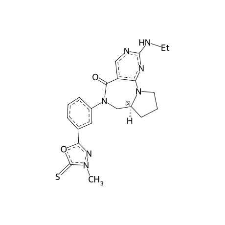 CCNc1ncc2c(n1)N1CCC[C@H]1CN(c1cccc(-c3nn(C)c(=S)o3)c1)C2=O